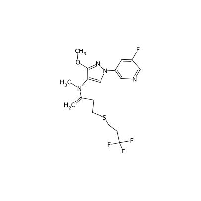 C=C(CCSCCC(F)(F)F)N(C)c1cn(-c2cncc(F)c2)nc1OC